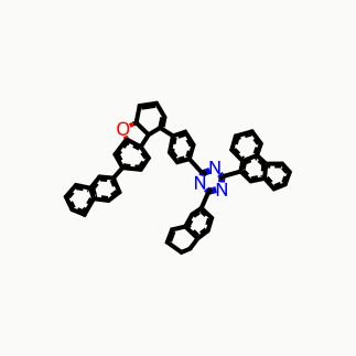 C1=CC2Oc3cc(-c4ccc5ccccc5c4)ccc3C2C(c2ccc(-c3nc(-c4ccc5c(c4)C=CCC5)nc(-c4cc5ccccc5c5ccccc45)n3)cc2)=C1